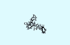 N[C@H](CNc1nc(N2CCOCC2)nc2c(Cl)nccc12)Cc1ccccc1